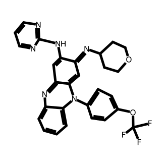 FC(F)(F)Oc1ccc(-n2c3c/c(=N\C4CCOCC4)c(Nc4ncccn4)cc-3nc3ccccc32)cc1